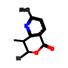 CCC1OC(=O)c2ccc(OC)nc2C1C